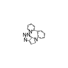 C1=NC2=NN=NC2=C1.c1ccc(-c2ccccn2)cc1